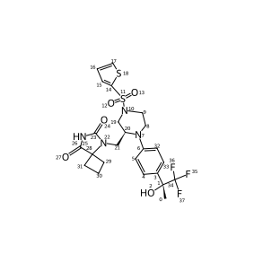 C[C@@](O)(c1ccc(N2CCN(S(=O)(=O)c3cccs3)C[C@@H]2CN2C(=O)NC(=O)C23CCC3)cc1)C(F)(F)F